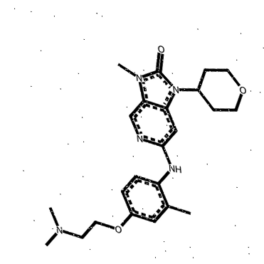 Cc1cc(OCCN(C)C)ccc1Nc1cc2c(cn1)n(C)c(=O)n2C1CCOCC1